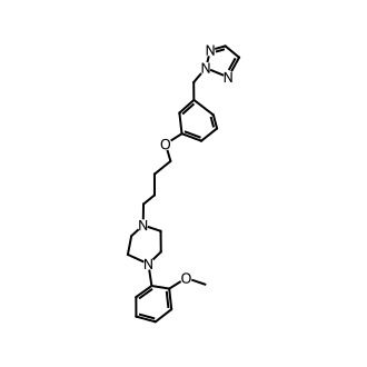 COc1ccccc1N1CCN(CCCCOc2cccc(Cn3nccn3)c2)CC1